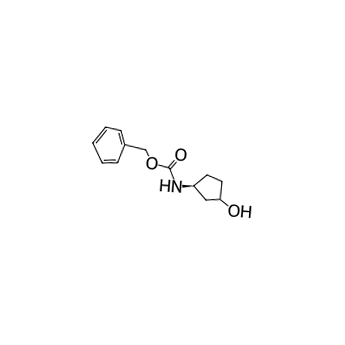 O=C(N[C@H]1CCC(O)C1)OCc1ccccc1